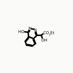 CCOC(=O)C(O)c1nnc(O)c2ccccc12